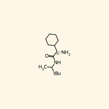 CC(NC(=O)[C@@H](N)C1CCCCC1)C(C)(C)C